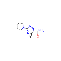 [2H]c1nc(N2CCCCC2)nnc1C(N)=O